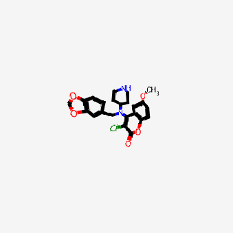 COc1ccc2oc(=O)c(Cl)c(N(Cc3ccc4c(c3)OCO4)C3CCNCC3)c2c1